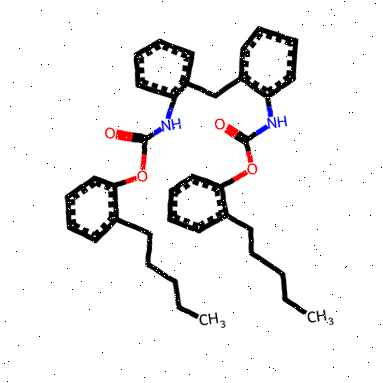 CCCCCc1ccccc1OC(=O)Nc1ccccc1Cc1ccccc1NC(=O)Oc1ccccc1CCCCC